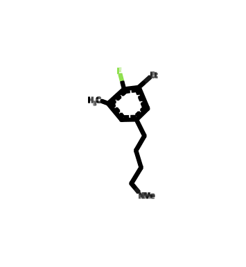 CCc1cc(CCCCNC)cc(C)c1F